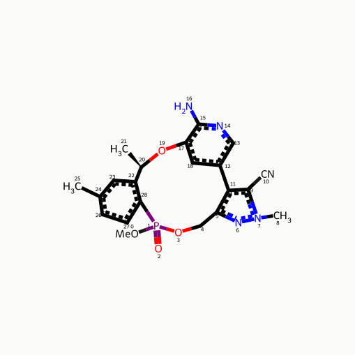 COP1(=O)OCc2nn(C)c(C#N)c2-c2cnc(N)c(c2)O[C@H](C)c2cc(C)ccc21